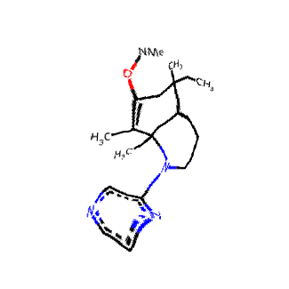 CNOC1=C(C)C2(C)C(CCN2c2cnccn2)C1(C)C